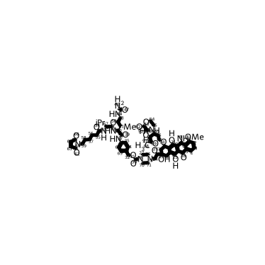 COc1cccc2c1C(=N)c1c(O)c3c(c(O)c1C2=O)C[C@@](O)(C(=O)CN1CCN(C(=O)OCc2ccc(NC(=O)[C@H](CCCNC(N)=O)NC(=O)[C@@H](NC(=O)CCCCCN4C(=O)C=CC4=O)C(C)C)cc2)CC1)C[C@@H]3O[C@H]1C[C@H]2[C@H](O[C@@H]3[C@@H](OC)OCCN32)[C@H](C)O1